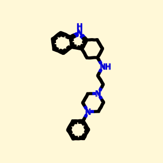 c1ccc(N2CCN(CCNC3CCc4[nH]c5ccccc5c4C3)CC2)cc1